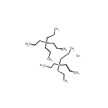 CCC[N+](CCC)(CCC)CCC.CCC[N+](CCC)(CCC)CCC.[O-2]